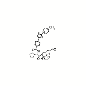 CN1CCN(c2nc(-c3ccc(C(=O)N[C@H](C(=O)N4C[C@@H](CCC=O)[C@H]5OCC[C@@H]54)C4CCCC4)cc3)cs2)CC1